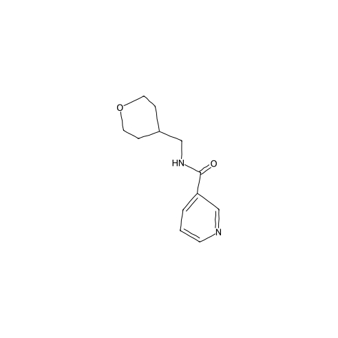 O=C(NCC1CCOCC1)c1cccnc1